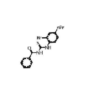 CCCc1ccc(NC(=S)NC(=O)c2ccccc2)c(Br)c1